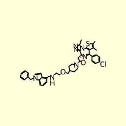 Cc1sc2c(c1C)C(c1ccc(Cl)cc1)=N[C@@H](CC(=O)N1CCC(COCCNCc3cccc4c3ccn4Cc3ccccc3)CC1)c1nnc(C)n1-2